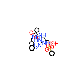 N=C(N)NC(CCCB(O)OS(=O)(=O)c1ccccc1)NC(=O)C1(C(=O)NCC2Cc3ccccc3C2)CCCC1